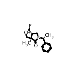 CC[C@]1(C)C(=O)N([C@H](C)c2ccccc2)C[C@@H]1CF